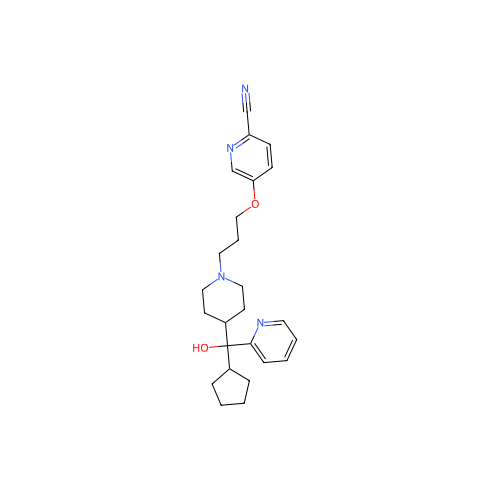 N#Cc1ccc(OCCCN2CCC(C(O)(c3ccccn3)C3CCCC3)CC2)cn1